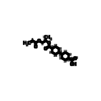 C=CC(=O)OCC(C)OC(=O)C1CCC(C2CCC(C(=O)O)CC2)CC1